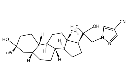 CCC[C@@]1(O)CC[C@H]2[C@H](CC[C@@H]3[C@@H]2CC[C@]2(C)[C@@H](C(C)(O)Cn4cc(C#N)cn4)CC[C@@H]32)C1